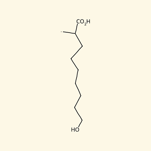 [CH2]C(CCCCCCCO)C(=O)O